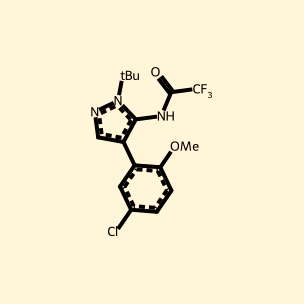 COc1ccc(Cl)cc1-c1cnn(C(C)(C)C)c1NC(=O)C(F)(F)F